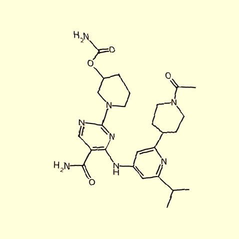 CC(=O)N1CCC(c2cc(Nc3nc(N4CCCC(OC(N)=O)C4)ncc3C(N)=O)cc(C(C)C)n2)CC1